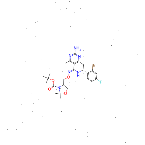 Cc1nc(N)nc2c1/C(=N/OCC1COC(C)(C)N1C(=O)OC(C)(C)C)N[C@@H](c1ccc(F)cc1Br)C2